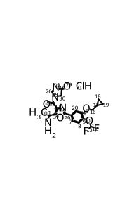 CC(N)c1oc(-c2ccc(OC(F)F)c(OCC3CC3)c2)nc1C(=O)N1C=NC(=O)C1.Cl